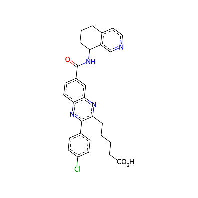 O=C(O)CCCCc1nc2cc(C(=O)NC3CCCc4ccncc43)ccc2nc1-c1ccc(Cl)cc1